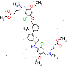 CCOc1cc(NC2CCc3c(-c4cccc(COc5cc(OCC)c(CN(C)CCCC(=O)OC)cc5Cl)c4C)cccc32)c(Cl)cc1CN(C)CCCC(=O)OC